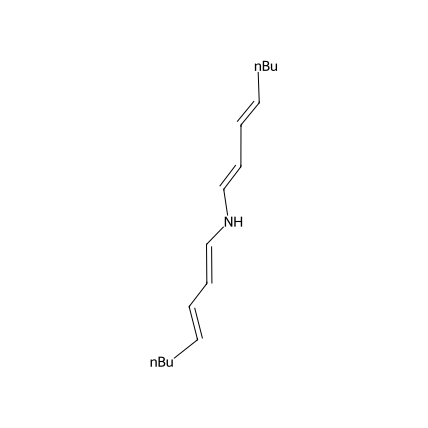 CCCCC=CC=CNC=CC=CCCCC